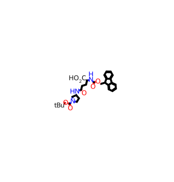 CC(C)(C)OC(=O)N1CC[C@@H](NC(=O)CC[C@H](NC(=O)OCC2c3ccccc3-c3ccccc32)C(=O)O)C1